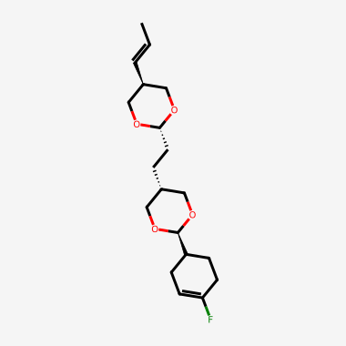 CC=C[C@H]1CO[C@H](CC[C@H]2CO[C@H](C3CC=C(F)CC3)OC2)OC1